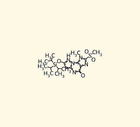 CC(C)[Si](Oc1cc2nc(=O)c3nc(S(C)(=O)=O)n(C)c3n2[nH]1)(C(C)C)C(C)C